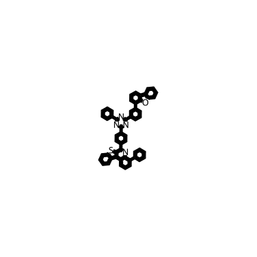 c1ccc(-c2nc(-c3ccc(-c4nc5c(-c6ccccc6)cccc5c5c4sc4ccccc45)cc3)nc(-c3cccc(-c4cccc5c4oc4ccccc45)c3)n2)cc1